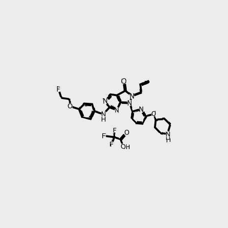 C=CCn1c(=O)c2cnc(Nc3ccc(OCCF)cc3)nc2n1-c1cccc(OC2CCNCC2)n1.O=C(O)C(F)(F)F